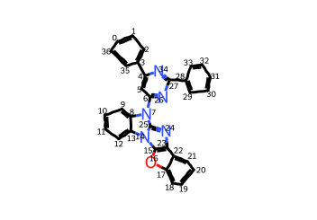 c1ccc(-c2cc(-n3c4ccccc4n4c5oc6ccccc6c5nc34)nc(-c3ccccc3)n2)cc1